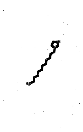 CCCCCCCCCCCC[N+]1=CNCC1